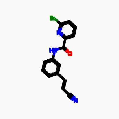 N#C/C=C/c1cccc(NC(=O)c2cccc(Br)n2)c1